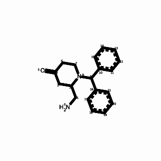 NCC1CC(=O)CCN1C(c1ccccc1)c1ccccc1